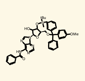 COc1ccc(C(OC[C@H]2O[C@@H](n3cnc4c(NC(=O)c5ccccc5)ncnc43)C(O)C2O[Si](C)(C)C(C)(C)C)(c2ccccc2)c2ccccc2)cc1